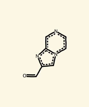 O=Cc1cn2ccncc2n1